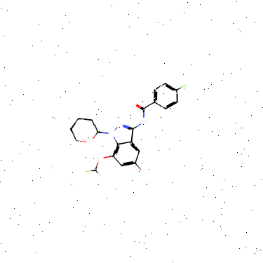 O=C(Nc1nn(C2CCCCO2)c2c(OC(F)F)cc(Br)cc12)c1ccc(F)cc1